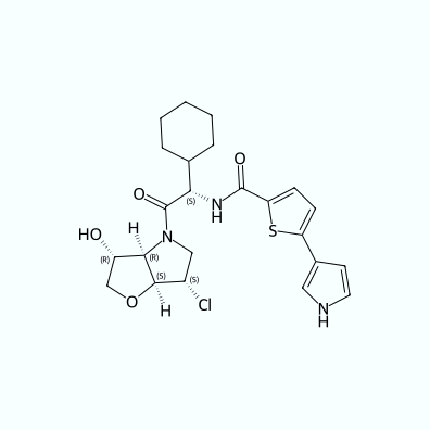 O=C(N[C@H](C(=O)N1C[C@H](Cl)[C@H]2OC[C@H](O)[C@H]21)C1CCCCC1)c1ccc(-c2cc[nH]c2)s1